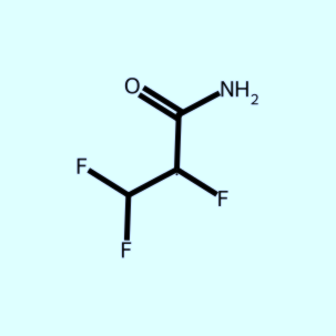 NC(=O)[C](F)C(F)F